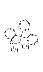 O=C(O)C(O)C(c1ccccc1)(c1ccccc1)c1ccccc1